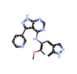 C=c1[nH]nc/c1=C/C(Nc1ncnc2[nH]nc(-c3cccnc3)c12)=C(\C)OC